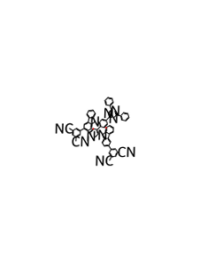 N#Cc1cc(C#N)cc(-c2ccc3c(c2)c2ccccc2n3-c2cnccc2-c2ccc(-c3nc(-c4ccccc4)nc(-c4ccccc4)n3)cc2-n2c3ccccc3c3cc(-c4cc(C#N)cc(C#N)c4)ccc32)c1